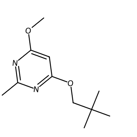 COc1cc(OCC(C)(C)C)nc(C)n1